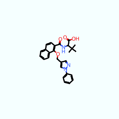 CC(C)(C)C(NC(=O)c1ccc2ccccc2c1OCc1cnn(-c2ccccc2)c1)C(=O)O